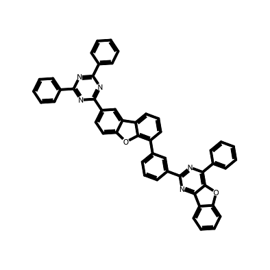 c1ccc(-c2nc(-c3ccccc3)nc(-c3ccc4oc5c(-c6cccc(-c7nc(-c8ccccc8)c8oc9ccccc9c8n7)c6)cccc5c4c3)n2)cc1